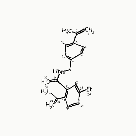 C=C(C)c1ccc(CNC(=C)c2cc(CC)ccc2C(=C)C)cc1